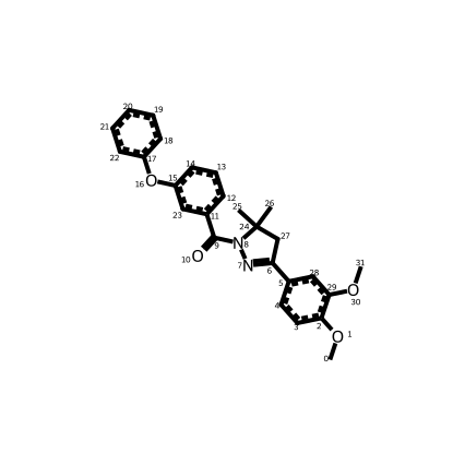 COc1ccc(C2=NN(C(=O)c3cccc(Oc4ccccc4)c3)C(C)(C)C2)cc1OC